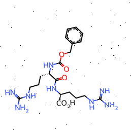 N=C(N)NCCC[C@H](NC(=O)[C@H](CCCNC(=N)N)NC(=O)OCc1ccccc1)C(=O)O